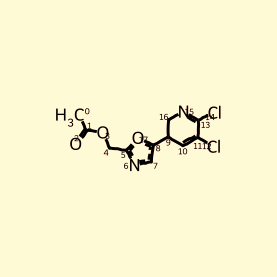 CC(=O)OCc1ncc(C2C=C(Cl)C(Cl)=NC2)o1